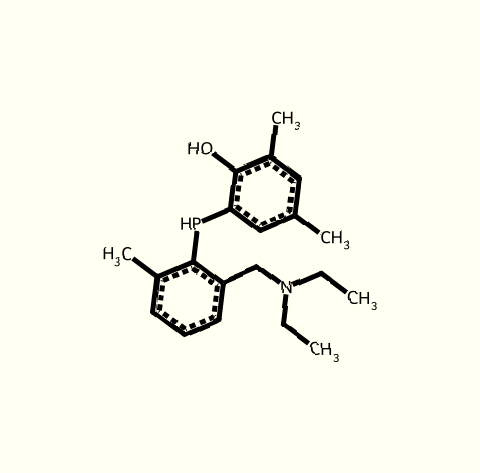 CCN(CC)Cc1cccc(C)c1Pc1cc(C)cc(C)c1O